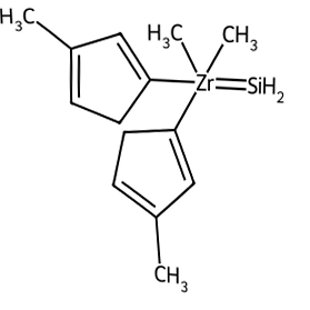 CC1=CC[C]([Zr]([CH3])([CH3])(=[SiH2])[C]2=CC(C)=CC2)=C1